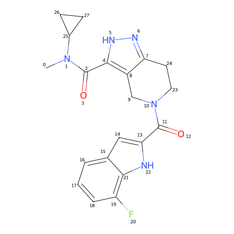 CN(C(=O)c1[nH]nc2c1CN(C(=O)c1cc3cccc(F)c3[nH]1)CC2)C1CC1